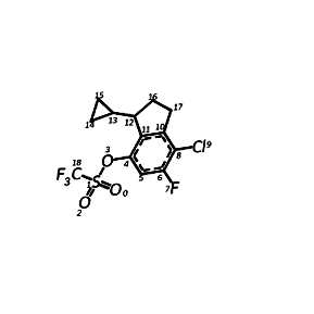 O=S(=O)(Oc1cc(F)c(Cl)c2c1C(C1CC1)CC2)C(F)(F)F